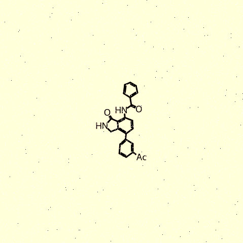 CC(=O)c1cccc(-c2ccc(NC(=O)c3ccccc3)c3c2CNC3=O)c1